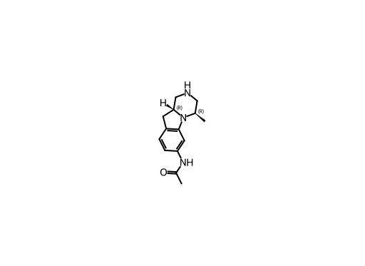 CC(=O)Nc1ccc2c(c1)N1[C@@H](CNC[C@H]1C)C2